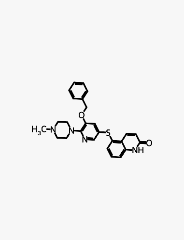 CN1CCN(c2ncc(Sc3cccc4[nH]c(=O)ccc34)cc2OCc2ccccc2)CC1